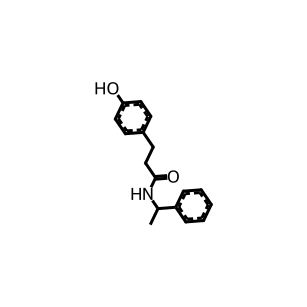 CC(NC(=O)CCc1ccc(O)cc1)c1ccccc1